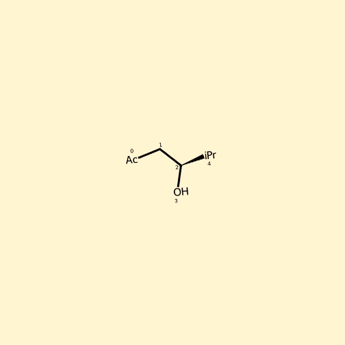 CC(=O)C[C@H](O)C(C)C